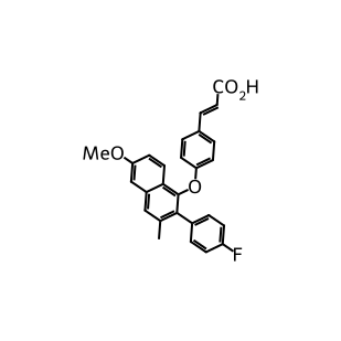 COc1ccc2c(Oc3ccc(C=CC(=O)O)cc3)c(-c3ccc(F)cc3)c(C)cc2c1